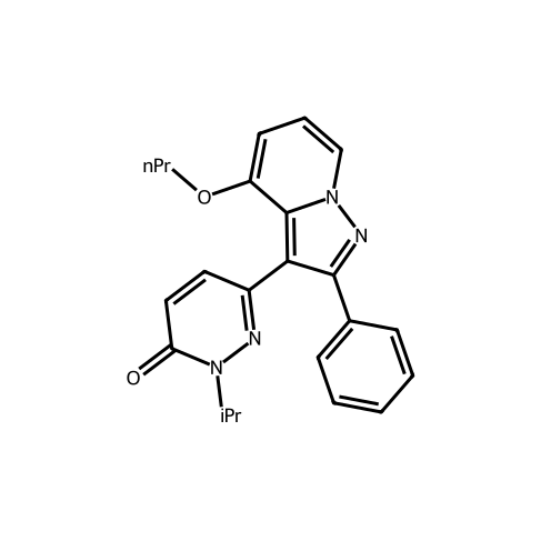 CCCOc1cccn2nc(-c3ccccc3)c(-c3ccc(=O)n(C(C)C)n3)c12